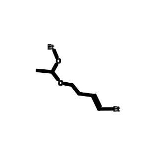 CCC=CCCOC(C)OCC